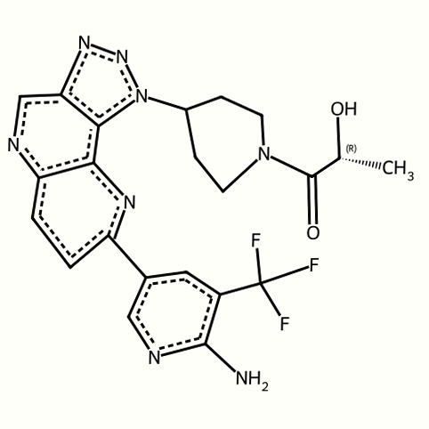 C[C@@H](O)C(=O)N1CCC(n2nnc3cnc4ccc(-c5cnc(N)c(C(F)(F)F)c5)nc4c32)CC1